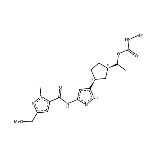 COCc1cc(C(=O)Nc2cc([C@H]3CC[C@@H](C(C)OC(=O)NC(C)C)C3)[nH]n2)n(C)n1